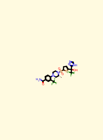 C[C@@H]1CN(c2ccc(C(N)=O)cc2C(F)(F)F)CCN1S(=O)(=O)C1CC=C(C(O)(c2nnc[nH]2)C(F)(F)F)S1